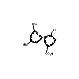 CC(C)(C)c1cccc(C(C)(C)C)c1.O=C(O)c1ccc(O)cc1